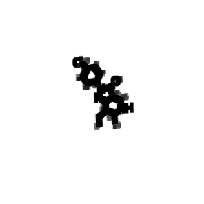 CCc1c2nn(-c3ccc(Cl)cc3)c(=O)c-2c[nH]c1C